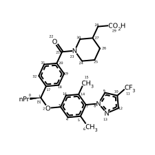 CCC[C@H](Oc1cc(C)c(-n2cc(C(F)(F)F)cn2)c(C)c1)c1ccc(C(=O)N2CCCC(CC(=O)O)C2)cc1